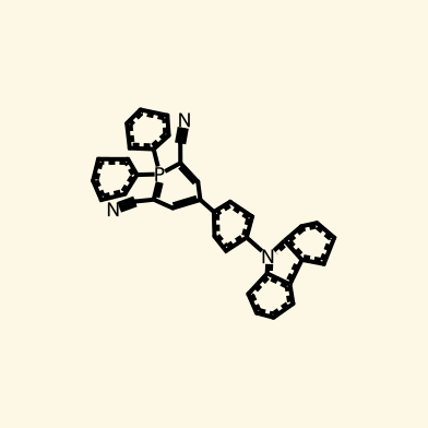 N#CC1=CC(c2ccc(-n3c4ccccc4c4ccccc43)cc2)=CC(C#N)=P1(c1ccccc1)c1ccccc1